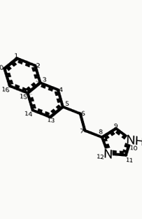 c1ccc2cc(CCc3c[nH]cn3)ccc2c1